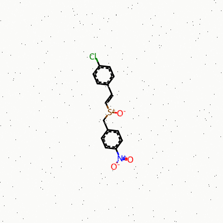 O=[N+]([O-])c1ccc(C[S+]([O-])C=Cc2ccc(Cl)cc2)cc1